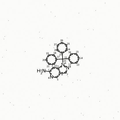 Nc1cc2c(cn1)cnn2C(c1ccccc1)(c1ccccc1)c1ccccc1